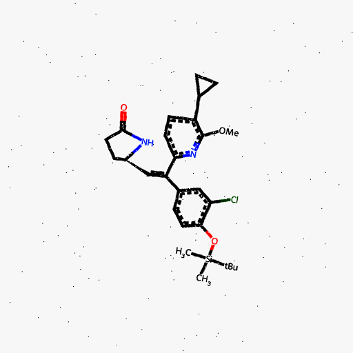 COc1nc(/C(=C\[C@H]2CCC(=O)N2)c2ccc(O[Si](C)(C)C(C)(C)C)c(Cl)c2)ccc1C1CC1